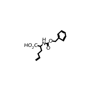 C=CCCC(NC(=O)OCc1ccccc1)C(=O)O